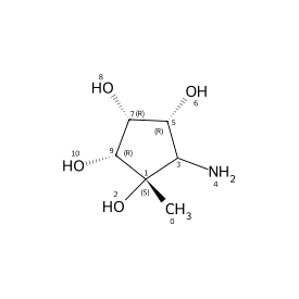 C[C@]1(O)C(N)[C@@H](O)[C@@H](O)[C@H]1O